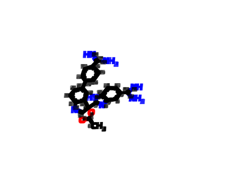 CC(=O)OC1(c2nc3cc(C(=N)N)ccc3[nH]2)C=Nc2ccc(-c3ccc(C(=N)N)cc3)cc21